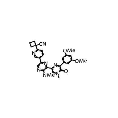 CNc1ncc(-c2ccc(C3(C#N)CCC3)nc2)nc1-c1cn(C)c(=O)c(-c2cc(OC)cc(OC)c2)n1